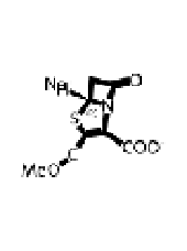 COCC1=C(C(=O)[O-])N2C(=O)C[C@H]2S1.[Na+]